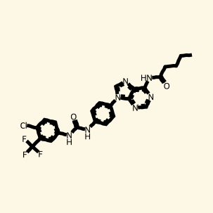 CCCCC(=O)Nc1ncnc2c1ncn2-c1ccc(NC(=O)Nc2ccc(Cl)c(C(F)(F)F)c2)cc1